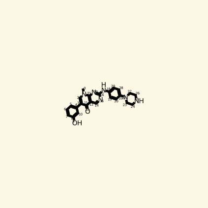 Cn1cc(-c2cccc(O)c2)c(=O)c2cnc(Nc3ccc(N4CCNCC4)cc3)nc21